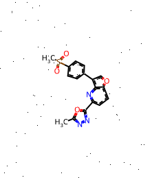 Cc1nnc(-c2ccc3occ(-c4ccc(S(C)(=O)=O)cc4)c3n2)o1